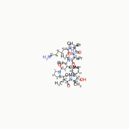 CC[C@H](C)[C@@H](C(CC(=O)N1CCC[C@H]1C(OC)[C@@H](C)C(=O)N[C@H](C)[C@@H](O)c1ccccc1)OC)N(C)C(=O)[C@@H](NC(=O)[C@H](C(C)C)N(C)C(=O)CCCCCN)C(C)C